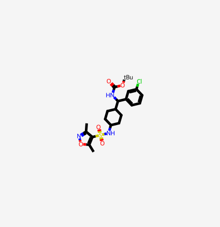 Cc1noc(C)c1S(=O)(=O)NC1CCC(C(NC(=O)OC(C)(C)C)c2cccc(Cl)c2)CC1